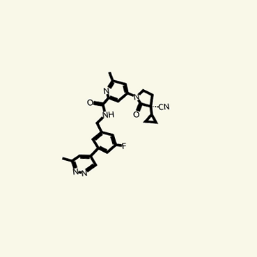 Cc1cc(-c2cc(F)cc(CNC(=O)c3cc(N4CC[C@@](C#N)(C5CC5)C4=O)cc(C)n3)c2)cnn1